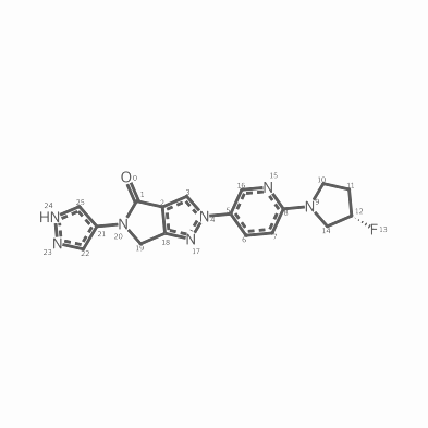 O=C1c2cn(-c3ccc(N4CC[C@H](F)C4)nc3)nc2CN1c1cn[nH]c1